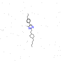 CCCCCC1CCC(CCc2ncc(-c3ccc(CCC)cc3)c(C)n2)CC1